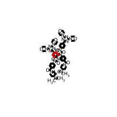 CN(C)C1CCN(C(=O)c2ccc(N(OC(=O)/C=C\C(=O)ON(C(=O)Nc3ccc(-c4nc(N5CCOCC5)nc(N5CCOCC5)n4)cc3)c3ccc(C(=O)N4CCC(N(C)C)CC4)cc3)C(=O)Nc3ccc(-c4nc(N5CCOCC5)nc(N5CCOCC5)n4)cc3)cc2)CC1